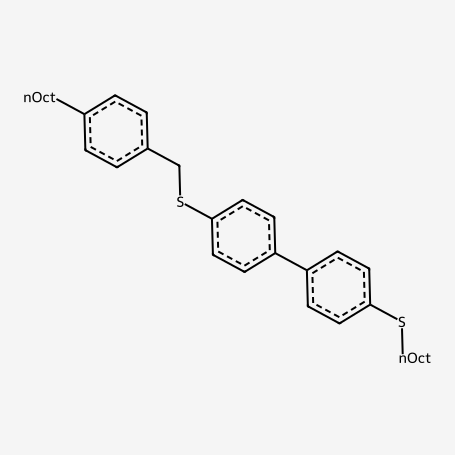 CCCCCCCCSc1ccc(-c2ccc(SCc3ccc(CCCCCCCC)cc3)cc2)cc1